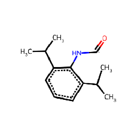 CC(C)c1cccc(C(C)C)c1N[C]=O